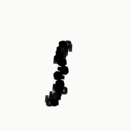 Cc1c(-c2ccn3c(=O)c(CNC[C@H]4CCC(=O)N4)cnc3c2)cccc1-c1cccc(-c2ccn3c(=O)c(CNC[C@@H]4CCC(=O)N4)cnc3c2)c1C